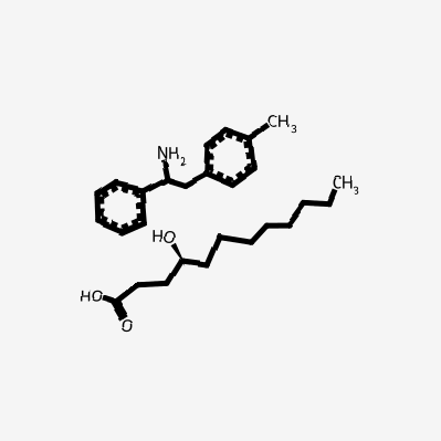 CCCCCCCC[C@H](O)CCC(=O)O.Cc1ccc(CC(N)c2ccccc2)cc1